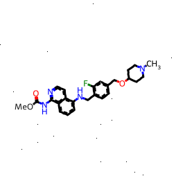 COC(=O)Nc1nccc2c(NCc3ccc(COC4CCN(C)CC4)cc3F)cccc12